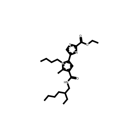 CCCCC(CC)CNC(=O)c1cc(-c2csc(C(=O)OCC)n2)n(CCCC)c1C